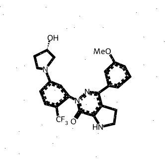 COc1cccc(-c2nn(-c3cc(N4CC[C@H](O)C4)ccc3C(F)(F)F)c(=O)c3c2CCN3)c1